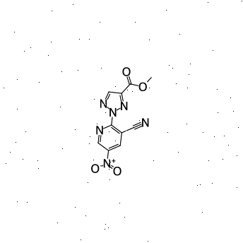 COC(=O)c1cnn(-c2ncc([N+](=O)[O-])cc2C#N)n1